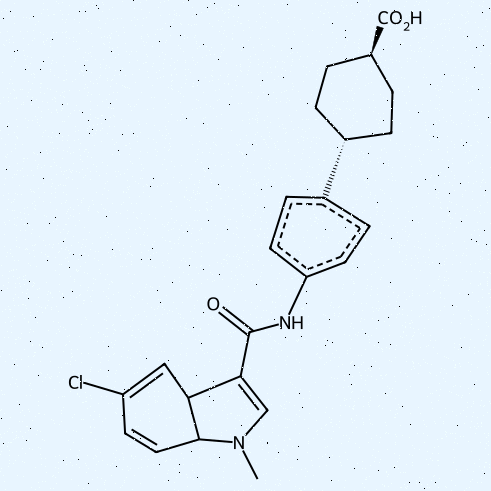 CN1C=C(C(=O)Nc2ccc([C@H]3CC[C@H](C(=O)O)CC3)cc2)C2C=C(Cl)C=CC21